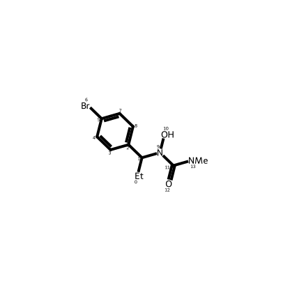 CCC(c1ccc(Br)cc1)N(O)C(=O)NC